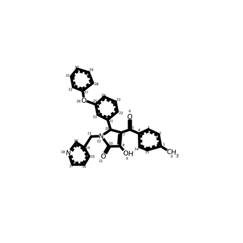 Cc1ccc(C(=O)C2=C(O)C(=O)N(Cc3cccnc3)C2c2cccc(Oc3ccccc3)c2)cc1